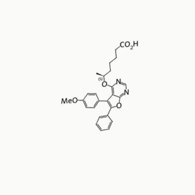 COc1ccc(-c2c(-c3ccccc3)oc3ncnc(O[C@@H](C)CCCCC(=O)O)c23)cc1